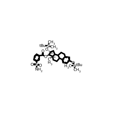 CC(C)(C)[Si](C)(C)Oc1ccc2c(c1)CCC1C2CC[C@@]2(C)C1C[C@@H](O[Si](C)(C)C(C)(C)C)[C@@H]2OC(=O)c1cccc(S(N)(=O)=O)c1